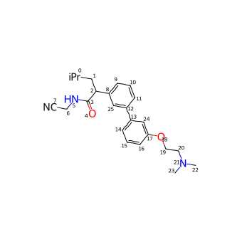 CC(C)CC(C(=O)NCC#N)c1cccc(-c2cccc(OCCN(C)C)c2)c1